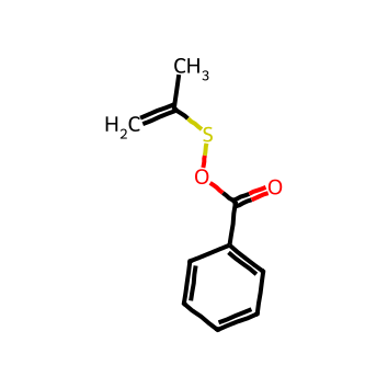 C=C(C)SOC(=O)c1ccccc1